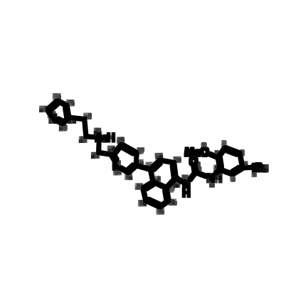 COc1ccc(C(C)(C)C)cc1NC(=O)Nc1ccc(-c2ccc(C[AsH]CCc3cccnc3)nc2)c2ccccc12